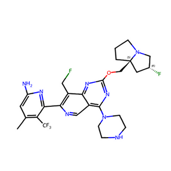 Cc1cc(N)nc(-c2ncc3c(N4CCNCC4)nc(OC[C@@]45CCCN4C[C@H](F)C5)nc3c2CF)c1C(F)(F)F